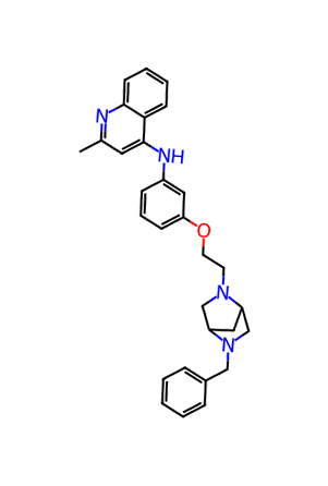 Cc1cc(Nc2cccc(OCCN3CC4CC3CN4Cc3ccccc3)c2)c2ccccc2n1